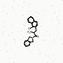 NC(Cc1ccc2ccccc2c1Cl)C(=O)N1Cc2ccccc2C1